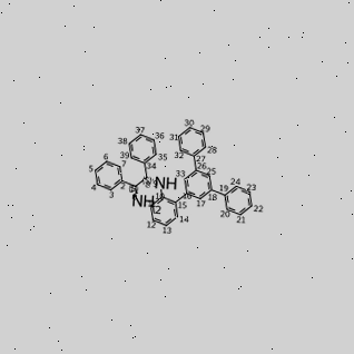 N[C@@H](c1ccccc1)[C@@H](Nc1ccccc1-c1cc(-c2ccccc2)cc(-c2ccccc2)c1)c1ccccc1